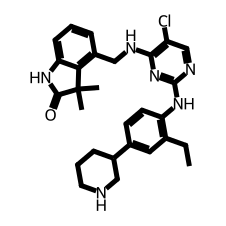 CCc1cc(C2CCCNC2)ccc1Nc1ncc(Cl)c(NCc2cccc3c2C(C)(C)C(=O)N3)n1